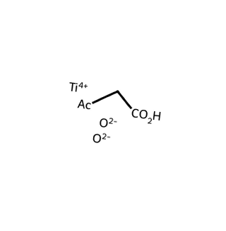 CC(=O)CC(=O)O.[O-2].[O-2].[Ti+4]